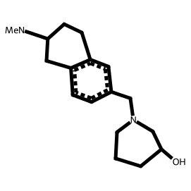 CNC1CCc2cc(CN3CCCC(O)C3)ccc2C1